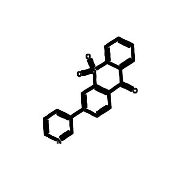 O=C1c2ccccc2S(=O)(=O)c2cc(-c3cccnc3)ccc21